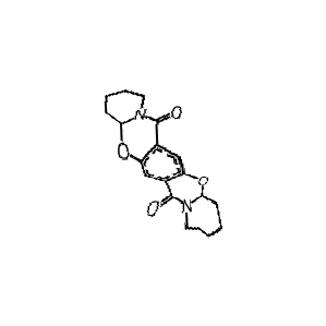 O=C1c2cc3c(cc2OC2CCCCN12)C(=O)N1CCCCC1O3